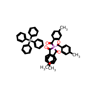 Cc1ccc(C(=O)[P+](C(=O)c2ccc(C)cc2)(C(=O)c2ccc(C)cc2)C(=O)c2ccc(C)cc2)cc1.c1ccc([B-](c2ccccc2)(c2ccccc2)c2ccccc2)cc1